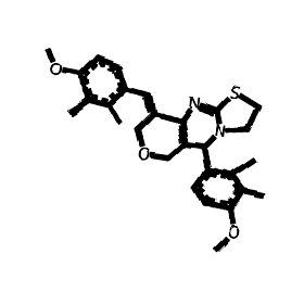 COc1ccc(C=C2COCC3=C2N=C2SCCN2C3c2ccc(OC)c(C)c2C)c(C)c1C